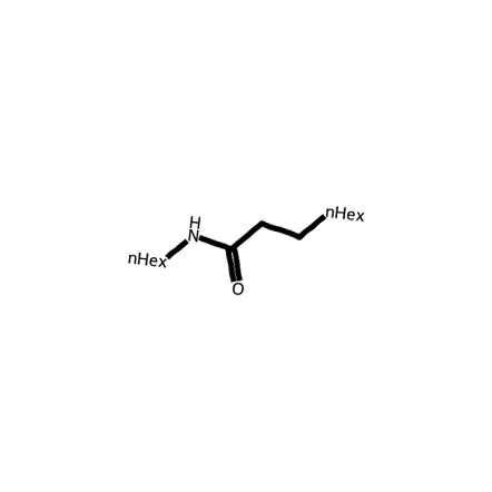 CCCCCCCCC(=O)NCCCCCC